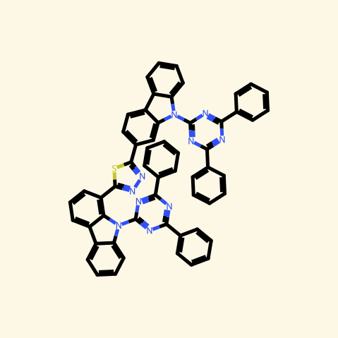 c1ccc(-c2nc(-c3ccccc3)nc(-n3c4ccccc4c4ccc(-c5nnc(-c6cccc7c8ccccc8n(-c8nc(-c9ccccc9)nc(-c9ccccc9)n8)c67)s5)cc43)n2)cc1